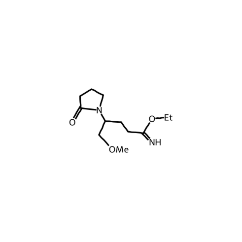 CCOC(=N)CCC(COC)N1CCCC1=O